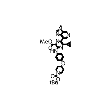 COC(=O)c1nc(-c2cncc3c2ncn3C)c(C2CC2)nc1Nc1ccc(OC2CCN(C(=O)OC(C)(C)C)CC2)cc1